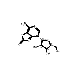 Nc1ncn([C@@H]2O[C@H](CO)[C@@H](O)[C@H]2O)c2nc(=O)sc1-2